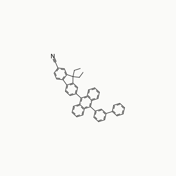 CCC1(CC)c2cc(C#N)ccc2-c2ccc(-c3c4ccccc4c(-c4cccc(-c5ccccc5)c4)c4ccccc34)cc21